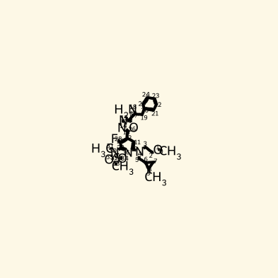 COCCN(CC1CC1C)c1cc(-c2nnc([C@H](N)Cc3ccccc3)o2)c(F)c(N(C)S(C)(=O)=O)n1